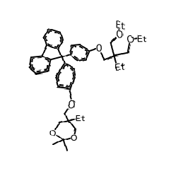 CCOCC(CC)(COCC)COc1ccc(C2(c3ccc(OCC4(CC)COC(C)(C)OC4)cc3)c3ccccc3-c3ccccc32)cc1